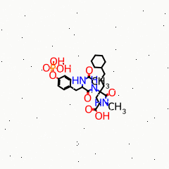 CNC(=O)C(CCCC1CCCCC1)(CCC(=O)O)NC(=O)C(Cc1ccc(OP(=O)(O)O)cc1)NC(C)=O